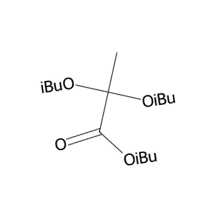 CC(C)COC(=O)C(C)(OCC(C)C)OCC(C)C